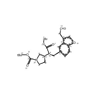 CC(C)(C)OC(=O)[C@@H](Cc1ccc2occ(CC=O)c2c1)[C@H]1CCN(C(=O)OC(C)(C)C)C1